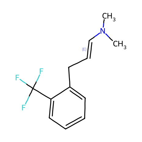 CN(C)/C=C/Cc1ccccc1C(F)(F)F